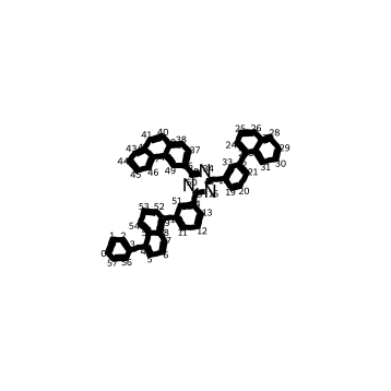 c1ccc(-c2cccc3c(-c4cccc(-c5nc(-c6cccc(-c7cccc8ccccc78)c6)nc(-c6ccc7ccc8ccccc8c7c6)n5)c4)cccc23)cc1